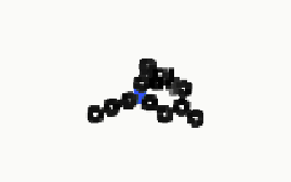 CC1(C)c2ccccc2-c2ccc(N(c3ccc(-c4ccc(C5CCCCC5)cc4)cc3)c3ccc(-c4cccc(-c5cc(C6CCCCC6)cc(C6CCCCC6)c5)c4)cc3)cc21